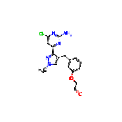 Cn1cc(Cc2cccc(OCC=O)c2)c(-c2cc(Cl)nc(N)n2)n1